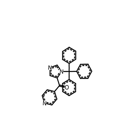 O=C(c1ccncc1)c1cncn1C(c1ccccc1)(c1ccccc1)c1ccccc1